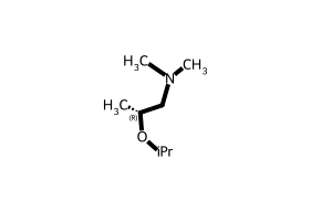 CC(C)O[C@H](C)CN(C)C